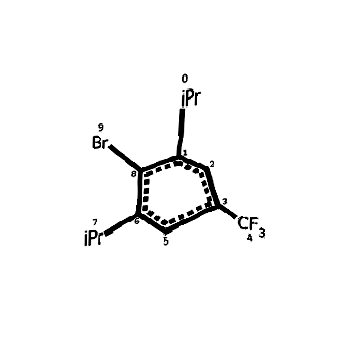 CC(C)c1cc(C(F)(F)F)cc(C(C)C)c1Br